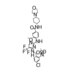 COc1cc(C(=O)N[C@H]2CC[C@H](N3CCOCC3)CC2)ccc1Nc1ncc(C(F)(F)F)c(NCc2ccc(Cl)cc2N(C)S(C)(=O)=O)n1